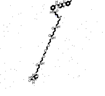 Cc1cccc(Nc2nc(Nc3cccc(NC(=O)/C=C/CN(C)CCCCNC(=O)CCCC(=O)NCCCOCCOCCOCCCNC(=O)CCCC[C@@H]4SC[C@]5(C)NC(=O)N[C@H]45)c3)ncc2F)c1